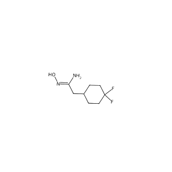 N/C(CC1CCC(F)(F)CC1)=N\O